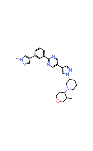 CC1COCCC1N1CCC[C@@H](n2cc(-c3cnc(-c4cccc(-c5cnn(C)c5)c4)nc3)cn2)C1